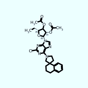 CC[C@H]1O[C@@H](n2cnc3c(N4CCC5(CCCc6ccccc65)C4)nc(Cl)nc32)[C@@H](OC(C)=O)C1OC(C)=O